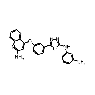 Nc1cc(Oc2cccc(-c3nnc(Nc4cccc(C(F)(F)F)c4)o3)c2)c2ccccc2n1